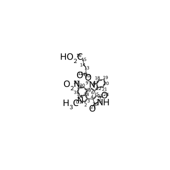 Cn1cc(C2=C(c3cn(COC(=O)CCCC(=O)O)c4ccccc34)C(=O)NC2=O)c2ccc([N+](=O)[O-])cc21